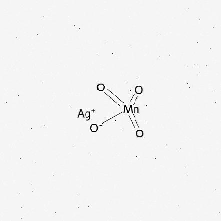 [Ag+].[O]=[Mn](=[O])(=[O])[O-]